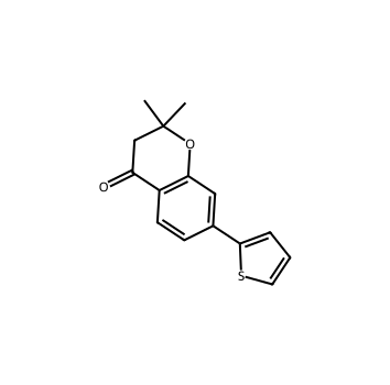 CC1(C)CC(=O)c2ccc(-c3cccs3)cc2O1